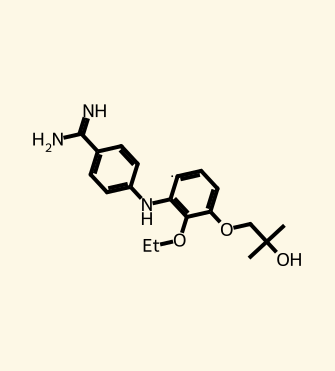 CCOc1c(Nc2ccc(C(=N)N)cc2)[c]ccc1OCC(C)(C)O